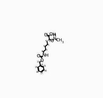 CNO[C@H](CCCCCNC(=O)OCc1ccccc1)C(=O)O